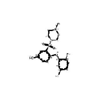 CC(C)N1CCN(S(=O)(=O)c2cc(C#N)ccc2Oc2cc(F)ccc2F)CC1